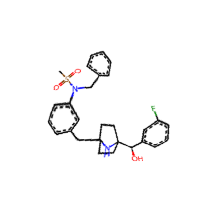 CS(=O)(=O)N(Cc1ccccc1)c1cccc(CC23CCC([C@H](O)c4cccc(F)c4)(CC2)N3)c1